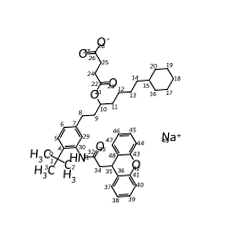 CC(C)(C)c1ccc(CCC(CCCCC2CCCCC2)OC(=O)CCC(=O)[O-])cc1NC(=O)CC1c2ccccc2Oc2ccccc21.[Na+]